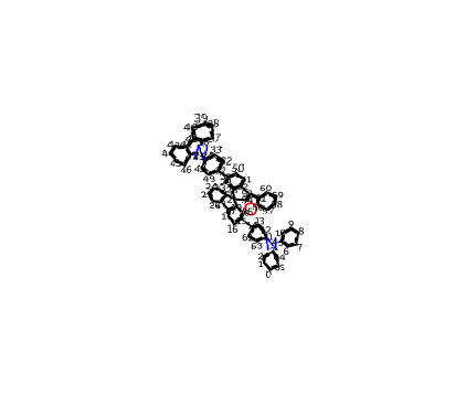 c1ccc(N(c2ccccc2)c2ccc(-c3ccc4c(c3)C3(c5ccccc5-4)c4cc(-c5ccc(-n6c7ccccc7c7ccccc76)cc5)ccc4-c4c3oc3ccccc43)cc2)cc1